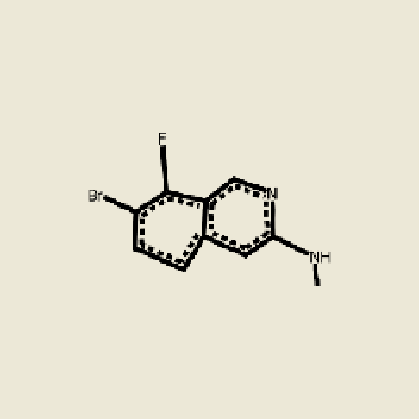 CNc1cc2ccc(Br)c(F)c2cn1